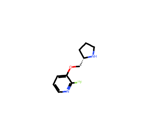 [18F]c1ncccc1OC[C@@H]1CCCN1